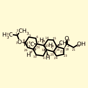 CC(C)O[C@@H]1CC[C@@]2(C)[C@@H](CC[C@@H]3[C@@H]2CC[C@]2(C)[C@@H](C(=O)CO)CC[C@@H]32)C1